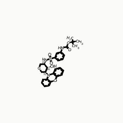 CC(C)(C)OC(=O)Nc1cccc(S(=O)(=O)N[C@@H]2COC[C@H](N3c4ccccc4Oc4ccccc43)[C@H]2O)c1